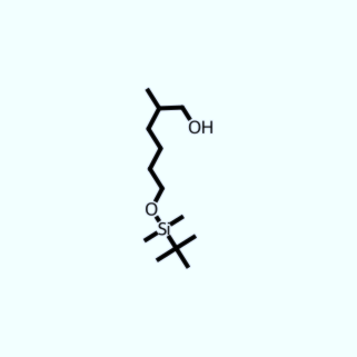 CC(CO)CCCCO[Si](C)(C)C(C)(C)C